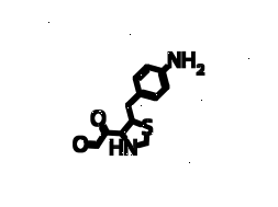 Nc1ccc(CC2SCNC2C(=O)C=O)cc1